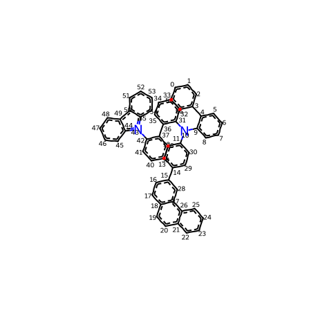 c1ccc(-c2ccccc2N(c2ccc(-c3ccc4ccc5ccccc5c4c3)cc2)c2ccccc2-c2ccccc2-n2c3ccccc3c3ccccc32)cc1